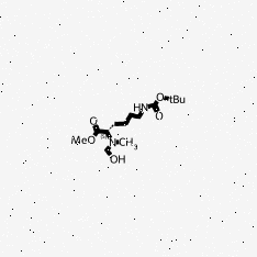 COC(=O)[C@H](CCCCNC(=O)OC(C)(C)C)N(C)CO